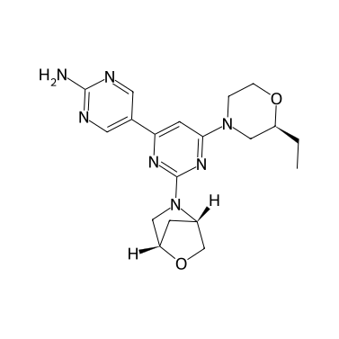 CC[C@H]1CN(c2cc(-c3cnc(N)nc3)nc(N3C[C@@H]4C[C@H]3CO4)n2)CCO1